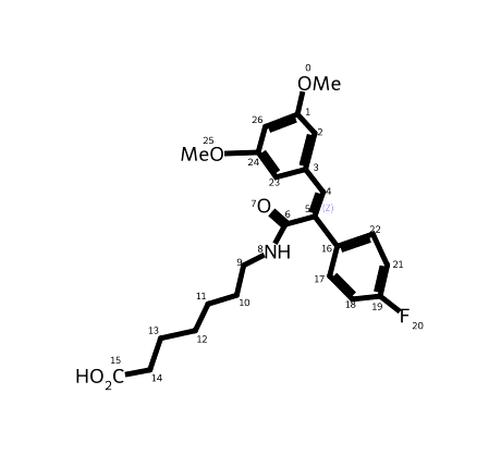 COc1cc(/C=C(\C(=O)NCCCCCCC(=O)O)c2ccc(F)cc2)cc(OC)c1